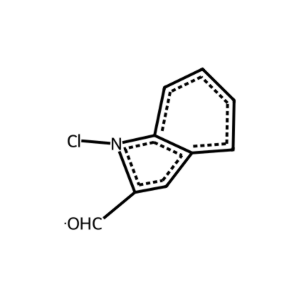 O=[C]c1cc2ccccc2n1Cl